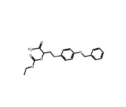 CCOC(=O)OC(CCc1ccc(OCc2ccccc2)cc1)C(N)=O